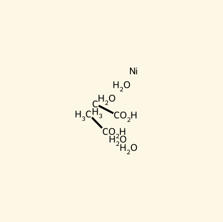 CC(=O)O.CC(=O)O.O.O.O.O.[Ni]